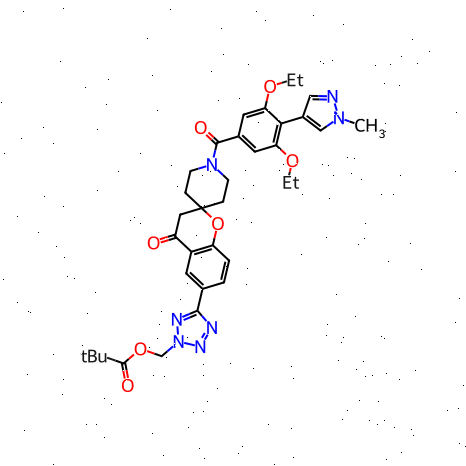 CCOc1cc(C(=O)N2CCC3(CC2)CC(=O)c2cc(-c4nnn(COC(=O)C(C)(C)C)n4)ccc2O3)cc(OCC)c1-c1cnn(C)c1